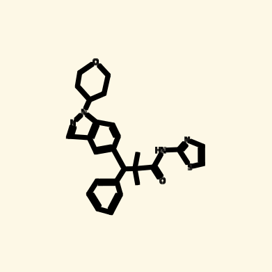 CC(C)(C(=O)Nc1nccs1)C(c1ccccc1)c1ccc2c(cnn2C2CCOCC2)c1